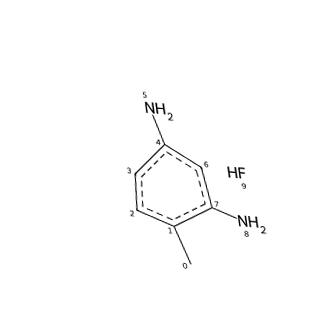 Cc1ccc(N)cc1N.F